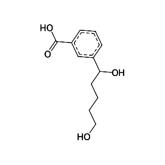 O=C(O)c1cccc(C(O)CCCCO)c1